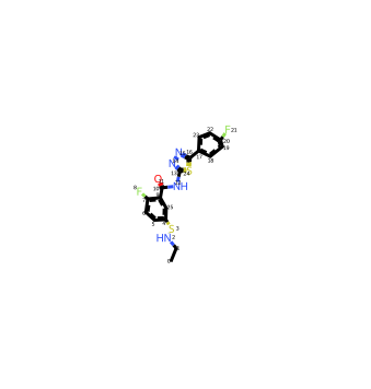 CCNSc1ccc(F)c(C(=O)Nc2nnc(-c3ccc(F)cc3)s2)c1